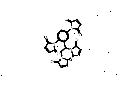 O=C1C=CC(=O)N1CC(c1cc(N2C(=O)C=CC2=O)ccc1N1C(=O)C=CC1=O)N1C(=O)C=CC1=O